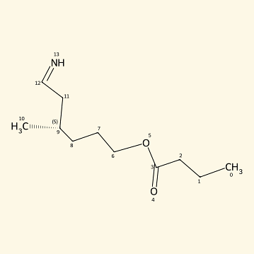 CCCC(=O)OCCC[C@H](C)CC=N